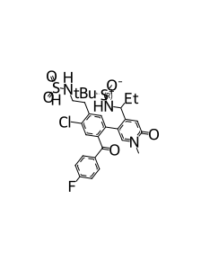 CCC(N[S@@+]([O-])C(C)(C)C)c1cc(=O)n(C)cc1-c1cc(CCN[SH](=O)=O)c(Cl)cc1C(=O)c1ccc(F)cc1